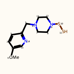 COc1ccc(CN2CCN(SS)CC2)nc1